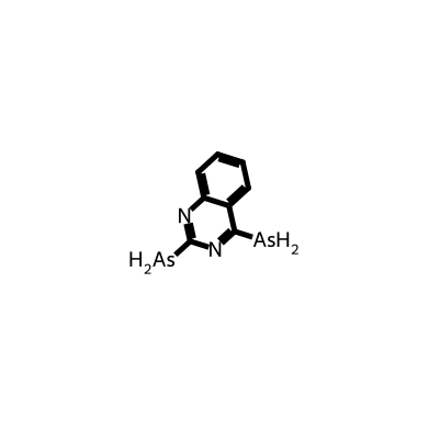 [AsH2]c1nc([AsH2])c2ccccc2n1